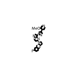 COc1cnccc1-c1cnn(-c2cnn3ccc(N4CCC[C@@H]4Cc4cc(F)ccc4F)nc23)c1